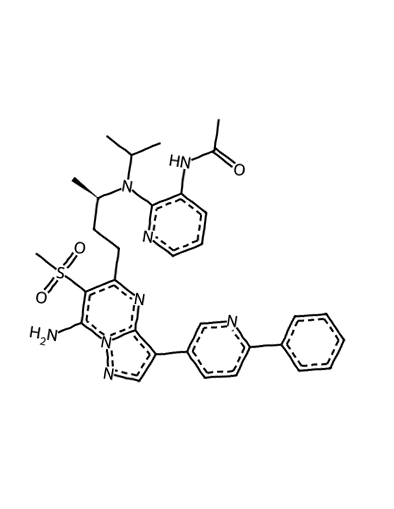 CC(=O)Nc1cccnc1N(C(C)C)[C@H](C)CCc1nc2c(-c3ccc(-c4ccccc4)nc3)cnn2c(N)c1S(C)(=O)=O